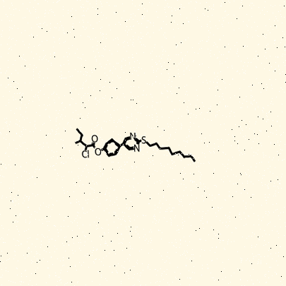 CCCCCCCCCSc1ncc(-c2ccc(OC(=O)C(Cl)C(C)CC)cc2)cn1